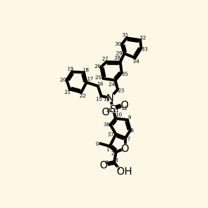 Cc1c(C(=O)O)oc2ccc(S(=O)(=O)N(CCc3ccccc3)Cc3cccc(-c4ccccc4)c3)cc12